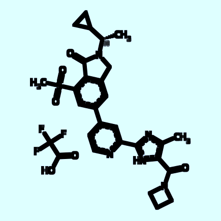 Cc1nc(-c2cc(-c3cc4c(c(S(C)(=O)=O)c3)C(=O)N([C@@H](C)C3CC3)C4)ccn2)[nH]c1C(=O)N1CCC1.O=C(O)C(F)(F)F